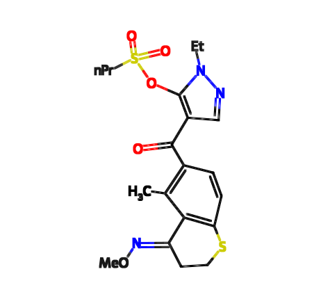 CCCS(=O)(=O)Oc1c(C(=O)c2ccc3c(c2C)C(=NOC)CCS3)cnn1CC